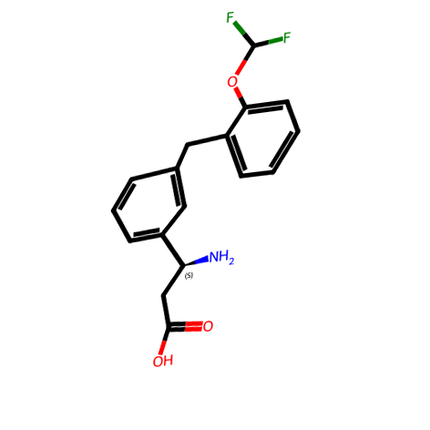 N[C@@H](CC(=O)O)c1cccc(Cc2ccccc2OC(F)F)c1